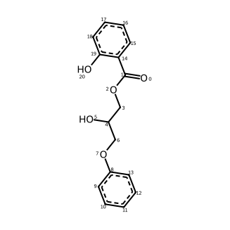 O=C(OCC(O)COc1ccccc1)c1ccccc1O